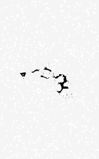 CNC(=O)c1csc2c(C(F)(F)F)cc(N3CC(C)N(CCOC4CC4)C(C)C3)nc12